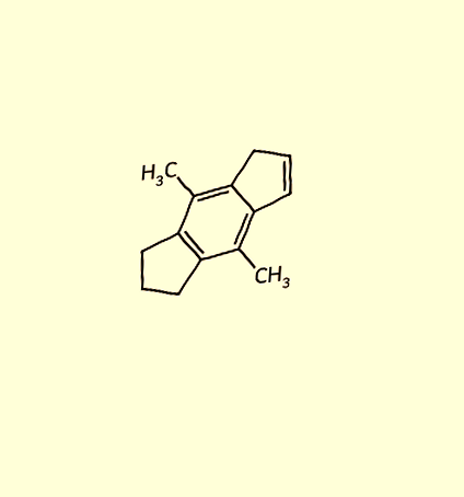 Cc1c2c(c(C)c3c1CCC3)CC=C2